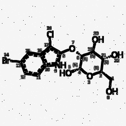 OC[C@H]1O[C@@H](O)[C@H](Oc2[nH]c3ccc(Br)cc3c2Cl)[C@@H](O)[C@@H]1O